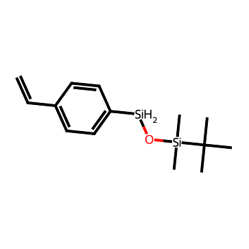 C=Cc1ccc([SiH2]O[Si](C)(C)C(C)(C)C)cc1